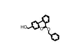 O=C(OCc1ccccc1)c1ccccc1-c1ccc(CO)cc1